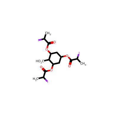 CC(I)C(=O)OC1CC(OC(=O)C(C)I)C(C(=O)O)C(OC(=O)C(C)I)C1